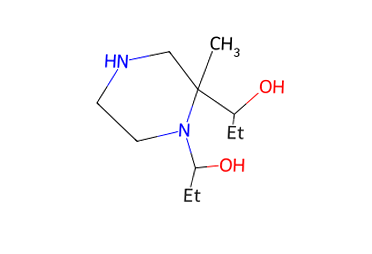 CCC(O)N1CCNCC1(C)C(O)CC